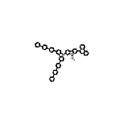 c1ccc(-c2ccc(-c3ccc(-c4ccc5c(c4)c4cc(-c6ccc(-c7ccc(-c8ccccc8)cc7)cc6)ccc4n5-c4ccc5c(c4)[SiH2]c4cc(-c6cc7ccccc7c7ccccc67)ccc4-5)cc3)cc2)cc1